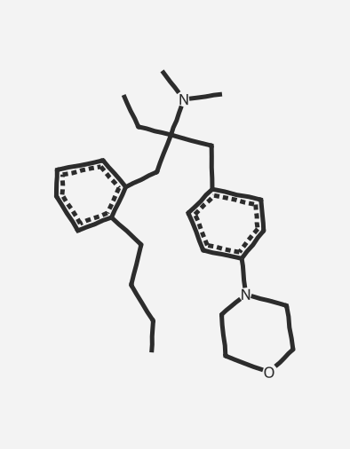 CCCCc1ccccc1CC(CC)(Cc1ccc(N2CCOCC2)cc1)N(C)C